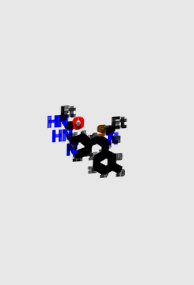 CCNC(=O)Nc1cc(-c2sc(CC)nc2-c2cccc(C)c2)ccn1